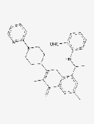 C=C1C(C)=C(C2CCN(c3ccccn3)CC2)Cc2c1cc(C)cc2C(C)Nc1ccccc1C=O